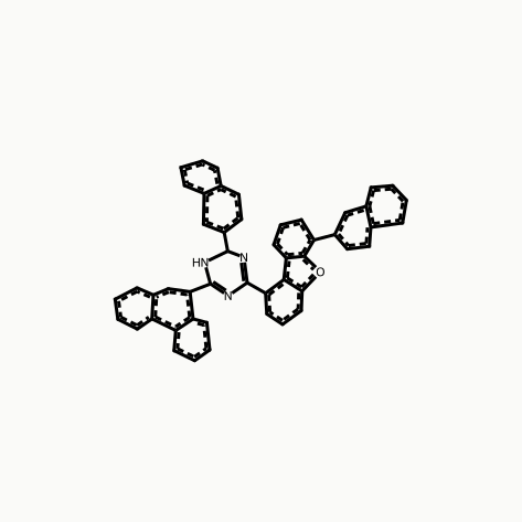 c1ccc2cc(-c3cccc4c3oc3cccc(C5=NC(c6ccc7ccccc7c6)NC(c6cc7ccccc7c7ccccc67)=N5)c34)ccc2c1